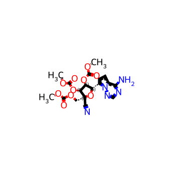 COC(=O)OC[C@@]1(C#N)O[C@@H](c2ccc3c(N)ncnn23)[C@H](OC(=O)OC)[C@@H]1OC(=O)OC